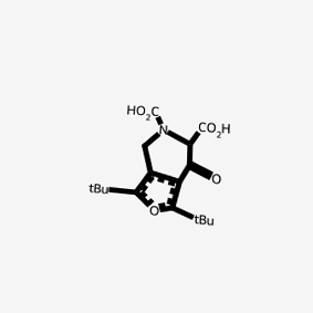 CC(C)(C)c1oc(C(C)(C)C)c2c1CN(C(=O)O)C(C(=O)O)C2=O